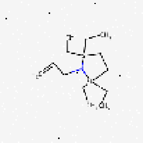 C=CCN1[Si](CC)(CC)CC[Si]1(CC)CC